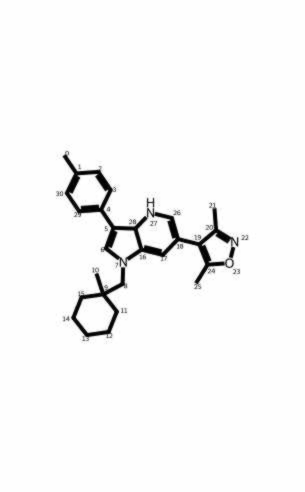 Cc1ccc(C2=CN(CC3(C)CCCCC3)C3=CC(c4c(C)noc4C)=CNC23)cc1